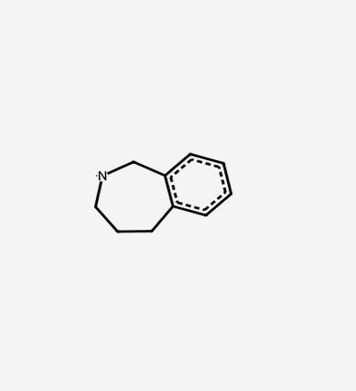 c1ccc2c(c1)CCC[N]C2